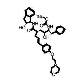 CC(C)(C)OC(=O)N[C@@H](Cc1ccccc1)[C@@H](O)C[C@@H](CC=Cc1ccc(OCCN2CCOCC2)cc1)C(=O)N[C@H]1c2ccccc2C[C@H]1O